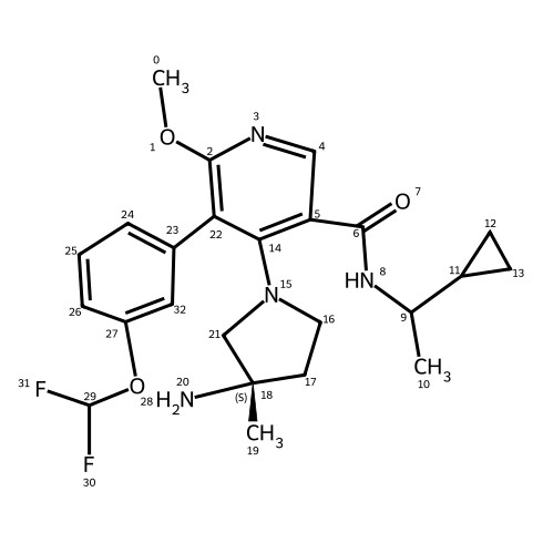 COc1ncc(C(=O)NC(C)C2CC2)c(N2CC[C@](C)(N)C2)c1-c1cccc(OC(F)F)c1